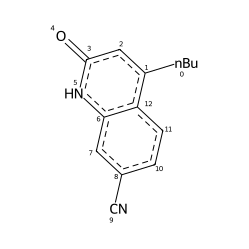 CCCCc1cc(=O)[nH]c2cc(C#N)ccc12